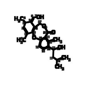 CC1=CC(C)C(=CO)C2=C1Oc1ccc(C(O)CC(C)C)c(C)c1C(=O)OC2